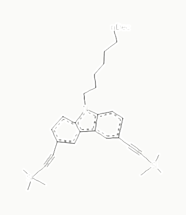 CCCCCCCCCCCCCCCCn1c2ccc(C#C[Si](C)(C)C)cc2c2cc(C#C[Si](C)(C)C)ccc21